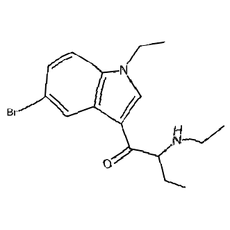 CCNC(CC)C(=O)c1cn(CC)c2ccc(Br)cc12